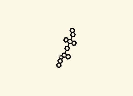 c1ccc2cc(-c3c4ccccc4c(-c4ccc(-c5cc6sc7cc8ccccc8cc7c6c6ccccc56)cc4)c4ccccc34)ccc2c1